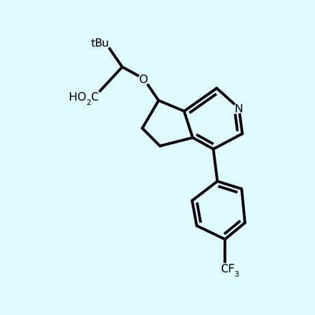 CC(C)(C)C(OC1CCc2c(-c3ccc(C(F)(F)F)cc3)cncc21)C(=O)O